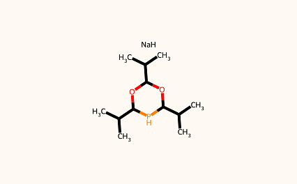 CC(C)C1OC(C(C)C)PC(C(C)C)O1.[NaH]